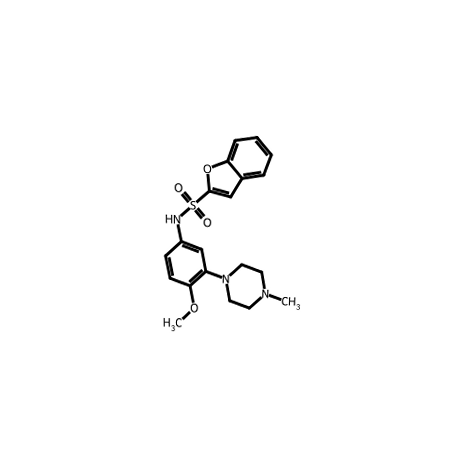 COc1ccc(NS(=O)(=O)c2cc3ccccc3o2)cc1N1CCN(C)CC1